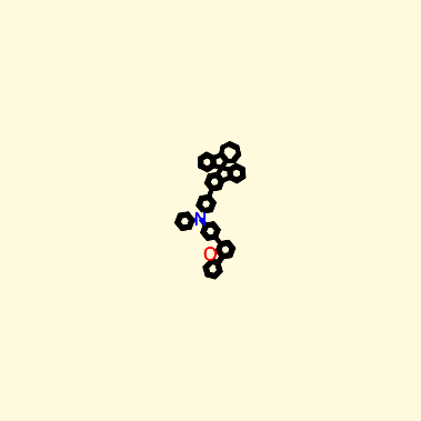 C1=CCC2=C(C=C1)C1(c3ccccc32)c2ccccc2-c2cc(-c3ccc(N(c4ccccc4)c4ccc(-c5cccc6c5oc5ccccc56)cc4)cc3)ccc21